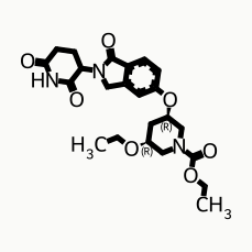 CCOC(=O)N1C[C@H](OCC)C[C@@H](Oc2ccc3c(c2)CN(C2CCC(=O)NC2=O)C3=O)C1